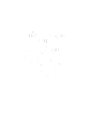 CC(=O)OCN1C(O)c2cccc(-c3ccccc3)c2C1O